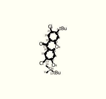 CC(C)(C)c1cc2oc3cc(O[Si](C)(C)C(C)(C)C)c(Cl)cc3c(=O)c2cc1Cl